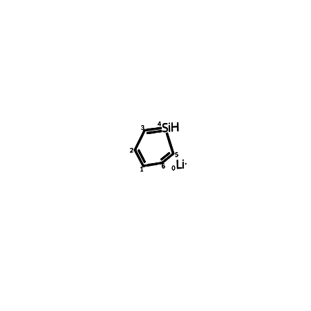 [Li].c1cc[siH]cc1